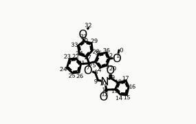 COc1ccc(C(OCCN2C(=O)c3ccccc3C2=O)(c2ccccc2)c2ccc(OC)cc2)cc1